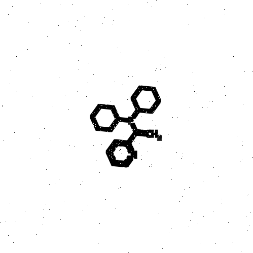 C=C(c1ccccn1)P(C1CCCCC1)C1CCCCC1